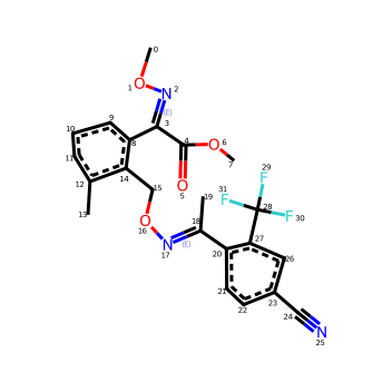 CO/N=C(/C(=O)OC)c1cccc(C)c1CO/N=C(\C)c1ccc(C#N)cc1C(F)(F)F